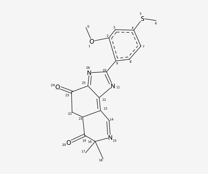 COc1cc(SC)ccc1C1=NC2=C3C=NC(C)(C)C(=O)C3CC(=O)C2=N1